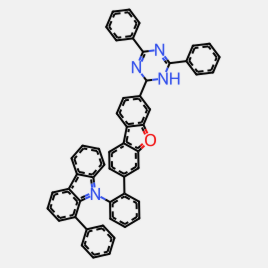 c1ccc(C2=NC(c3ccc4c(c3)oc3cc(-c5ccccc5-n5c6ccccc6c6cccc(-c7ccccc7)c65)ccc34)NC(c3ccccc3)=N2)cc1